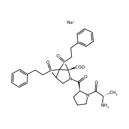 C[C@H](N)C(=O)N1CCC[C@H]1C(=O)N1CC2C3([C@]1(C(=O)[O-])P3(=O)CCc1ccccc1)P2(=O)CCc1ccccc1.[Na+]